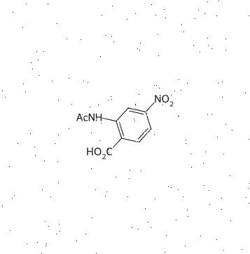 CC(=O)Nc1cc([N+](=O)[O-])ccc1C(=O)O